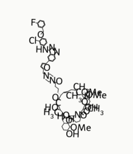 CO[C@H]1C[C@@H](C)C/C(C)=C/[C@@H](CCCC(=O)N2CCN(Cc3ccc(-c4ccc5ncnc(Nc6ccc(OCc7cccc(F)c7)c(Cl)c6)c5c4)o3)CC2)C(=O)C[C@H](O)[C@@H](C)[C@@H]2OC(=O)[C@@H]3C(CCCN3C(=O)C(=O)[C@]3(O)O[C@H]1[C@@H](OC)C[C@H]3C)/C2=C\[C@@H]1CC[C@@H](O)[C@H](OC)C1